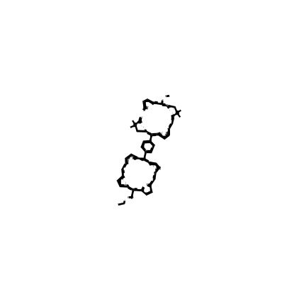 CCOC(=O)c1c2nc(cc3ccc([nH]3)c(-c3ccc(-c4c5nc(cc6ccc([nH]6)c(OC)c6nc(cc7ccc4[nH]7)C(C)(C)C6)C(C)(C)C5)cc3)c3nc(cc4ccc1[nH]4)C=C3)C=C2